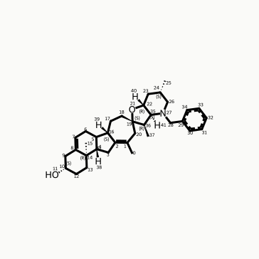 CC1=C2C[C@H]3C(CC=C4C[C@@H](O)CC[C@@]43C)[C@@H]2CC[C@@]2(C1)O[C@@H]1C[C@H](C)CN(Cc3ccccc3)[C@H]1[C@H]2C